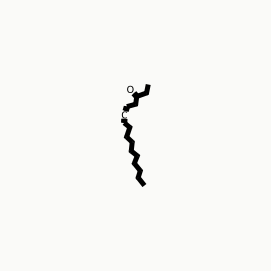 CCCCCCCCCC=C=CCC(=O)CC